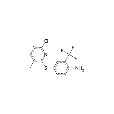 Cc1cnc(Cl)nc1Sc1ccc(N)c(C(F)(F)F)c1